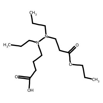 CCCOC(=O)CCN(CCC)N(CCC)CCCC(=O)O